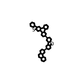 c1ccc2c(c1)ccc1ccc(-c3ccc4oc5ccc(-c6ccc7c(c6)c6ccccc6c6cc8c(cc76)sc6ccccc68)cc5c4c3)cc12